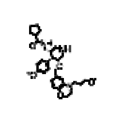 COCCCN1CCOc2ccc(CO[C@H]3CNC[C@@H](CNC(=O)C4CCCC4)[C@@H]3c3ccc(OC)cc3)cc21